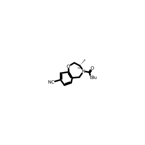 C[C@H]1COc2cc(C#N)ccc2CN1C(=O)C(C)(C)C